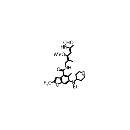 CCN(c1cc2oc(C(F)(F)F)cc2c(C(=O)NC/C(C)=C(/C=C(/C)NC=O)OC)c1C)C1CCOCC1